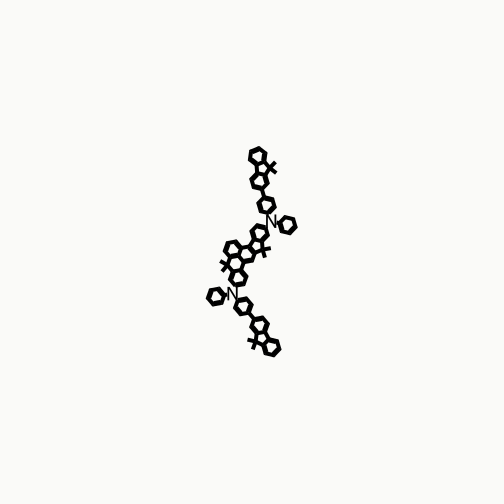 CC1(C)c2ccccc2-c2ccc(-c3ccc(N(C4=CC=CCC4)c4ccc5c(c4)C(C)(C)c4cc6c7c(cccc7c4-5)C(C)(C)c4cc(N(c5ccccc5)c5ccc(-c7ccc8c(c7)C(C)(C)c7ccccc7-8)cc5)ccc4-6)cc3)cc21